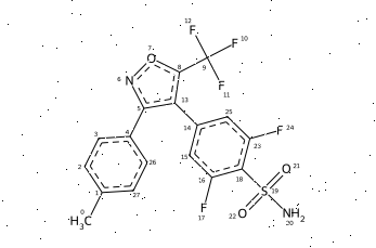 Cc1ccc(-c2noc(C(F)(F)F)c2-c2cc(F)c(S(N)(=O)=O)c(F)c2)cc1